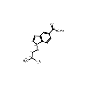 COC(=O)c1ccc2c(ccn2CCN(C)C)c1